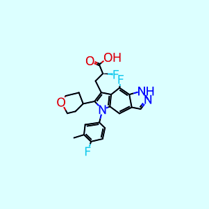 Cc1cc(-n2c(C3CCOCC3)c(C[C@H](F)C(=O)O)c3c(F)c4[nH]ncc4cc32)ccc1F